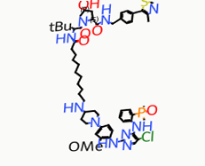 COc1cc(N2CCC(NCCCCCCCCCCC(=O)NC(C(=O)N3C[C@H](O)C[C@H]3C(=O)NCc3ccc(-c4scnc4C)cc3)C(C)(C)C)CC2)ccc1Nc1ncc(Cl)c(Nc2ccccc2P(C)(C)=O)n1